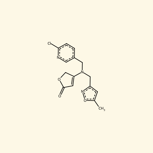 Cc1cc(CN(Cc2ccc(Cl)nc2)C2=CC(=O)OC2)no1